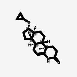 C[C@]12CC[C@H]3[C@@H](CC=C4NC(=O)CC[C@@]43C)[C@@H]1CC[C@@H]2OC1CC1